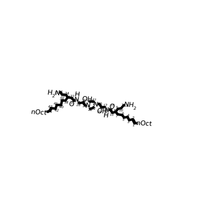 CCCCCCCCC=CCCCCCC(CCCN)CC(=O)NCC(O)CN1CCN(CC(O)CNC(=O)CC(CCCN)CCCCCC=CCCCCCCCC)CC1